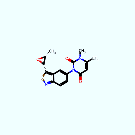 C[C@H]1O[C@H]1c1snc2ccc(-n3c(=O)cc(C(F)(F)F)n(C)c3=O)cc12